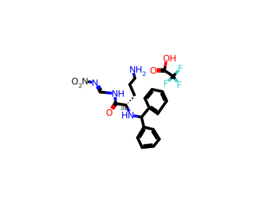 NCCC[C@H](NC(c1ccccc1)c1ccccc1)C(=O)NC=N[N+](=O)[O-].O=C(O)C(F)(F)F